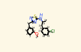 COc1cccc(Cc2nsc(NC(C)Cc3cccc(Cl)c3)n2)c1